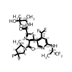 C[C@H](NC(=O)c1nc(C(=O)N2CC(F)(F)C[C@@H]2C)c(-c2cnc(N[C@@H](C)C(F)(F)F)cc2C(F)F)s1)C(C)(C)O